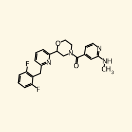 CNc1cc(C(=O)N2CCOC(c3cccc(Cc4c(F)cccc4F)n3)C2)ccn1